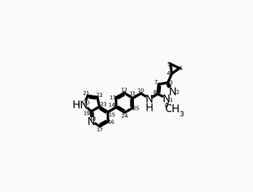 Cn1nc(C2CC2)cc1NCc1ccc(-c2ccnc3[nH]ccc23)cc1